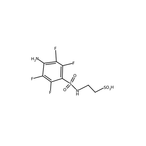 Nc1c(F)c(F)c(S(=O)(=O)NCCS(=O)(=O)O)c(F)c1F